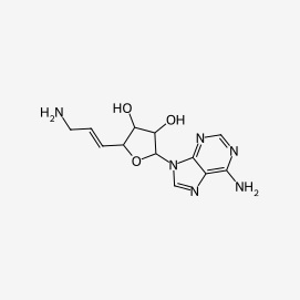 NCC=CC1OC(n2cnc3c(N)ncnc32)C(O)C1O